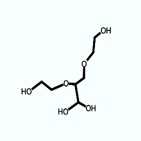 OCCOCC(OCCO)C(O)O